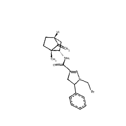 C=C1[C@@H]2CC[C@@]1(C)[C@@H](NC(=O)C1=NN(CC(C)C)C(c3ccccc3)C1)C2